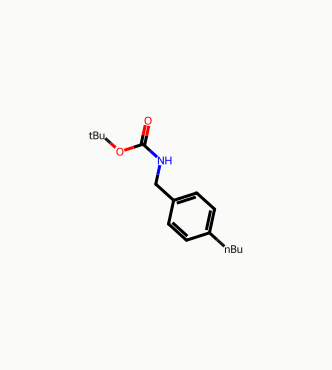 CCCCc1ccc(CNC(=O)OC(C)(C)C)cc1